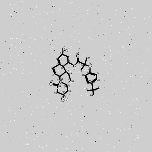 CC1C=CC2=CC(O)CC(OC(=O)C(C)(C)Oc3ccc(C(C)(C)C)cc3)C2C1CC[C@@H]1C[C@@H](O)CC(=O)O1